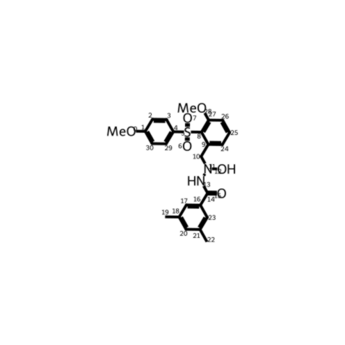 COc1ccc(S(=O)(=O)c2c(CN(O)NC(=O)c3cc(C)cc(C)c3)cccc2OC)cc1